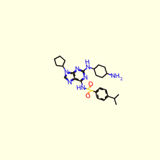 CC(C)c1ccc(S(=O)(=O)Nc2nc(NC3CCC(N)CC3)nc3c2ncn3C2CCCC2)cc1